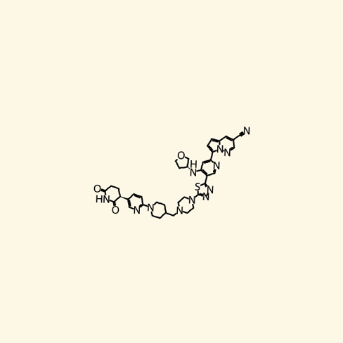 N#Cc1cnn2c(-c3cc(N[C@@H]4CCOC4)c(-c4nnc(N5CCN(CC6CCN(c7ccc([C@@H]8CCC(=O)NC8=O)cn7)CC6)CC5)s4)cn3)ccc2c1